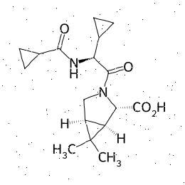 CC1(C)[C@@H]2[C@@H](C(=O)O)N(C(=O)[C@@H](NC(=O)C3CC3)C3CC3)C[C@@H]21